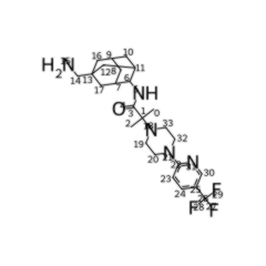 CC(C)(C(=O)NC1C2CC3CC1CC(CN)(C3)C2)N1CCN(c2ccc(C(F)(F)F)cn2)CC1